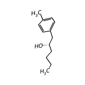 CCCC[C@H](O)Cc1ccc(C)cc1